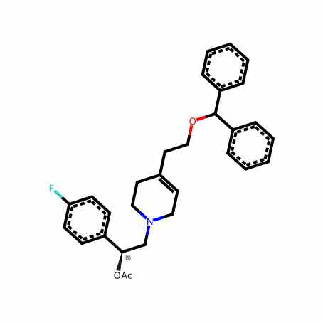 CC(=O)O[C@H](CN1CC=C(CCOC(c2ccccc2)c2ccccc2)CC1)c1ccc(F)cc1